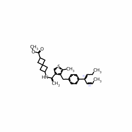 C=C(NC1CC2(C1)CC(C(=O)OC)C2)c1csc(C)c1Cc1ccc(C(/C=C\C)=C/CC)cc1